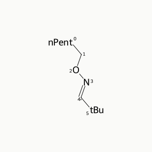 CCCCCCO/N=[C]/C(C)(C)C